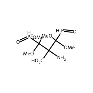 COC(OC)([PH2]=O)C(N)(C(=O)O)C(OC)(OC)[PH2]=O